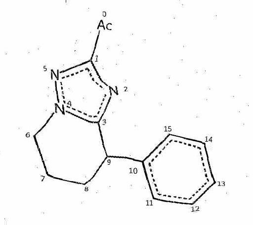 CC(=O)c1nc2n(n1)CCCC2c1ccccc1